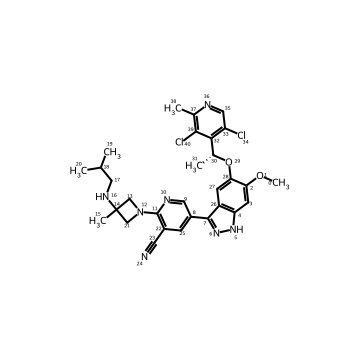 COc1cc2[nH]nc(-c3cnc(N4CC(C)(NCC(C)C)C4)c(C#N)c3)c2cc1O[C@H](C)c1c(Cl)cnc(C)c1Cl